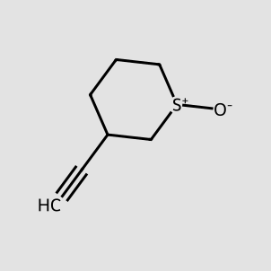 C#CC1CCC[S+]([O-])C1